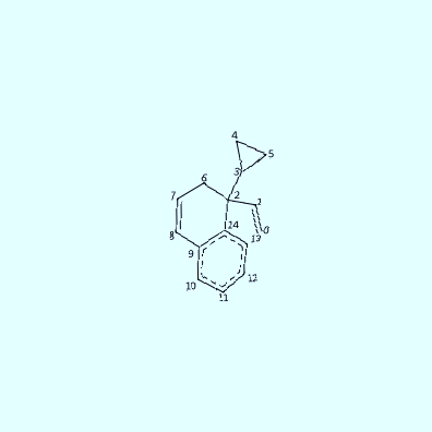 C=CC1(C2CC2)CC=Cc2ccccc21